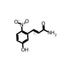 NC(=O)/C=C/c1cc(O)ccc1[N+](=O)[O-]